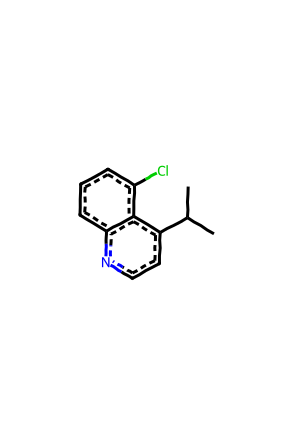 CC(C)c1ccnc2cccc(Cl)c12